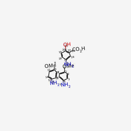 COc1ccc(N)cc1.COc1ccc(N)cc1.Nc1ccc(O)c(C(=O)O)c1